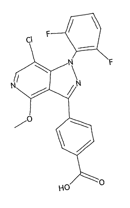 COc1ncc(Cl)c2c1c(-c1ccc(C(=O)O)cc1)nn2-c1c(F)cccc1F